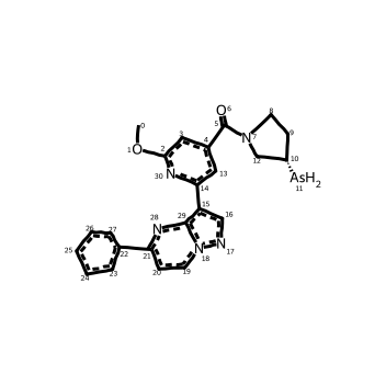 COc1cc(C(=O)N2CC[C@H]([AsH2])C2)cc(-c2cnn3ccc(-c4ccccc4)nc23)n1